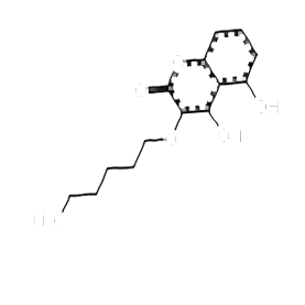 CCCCCCOc1c(O)c2c(O)cccc2oc1=O